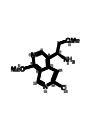 COC[C@@H](N)c1cnc(OC)c2cnc(Cl)cc12